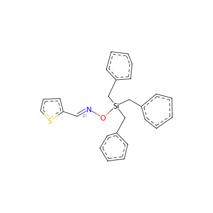 C(=N\O[Si](Cc1ccccc1)(Cc1ccccc1)Cc1ccccc1)/c1cccs1